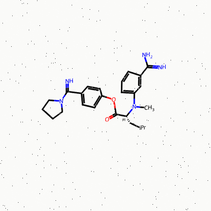 CC(C)C[C@H](C(=O)Oc1ccc(C(=N)N2CCCC2)cc1)N(C)c1cccc(C(=N)N)c1